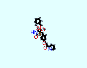 O=C1NC(=O)C(Cc2ccc(OCC(=O)c3ccccn3)cc2)(C(=O)OCc2ccccc2)S1